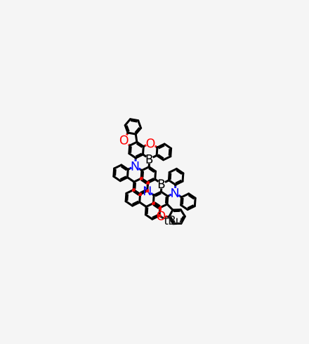 CC(C)(C)c1ccc(-c2ccccc2N2c3cc4c(cc3B3c5ccccc5N(c5ccccc5)c5c3c2cc2oc3ccccc3c52)B2c3ccccc3Oc3c2c(cc2oc5ccccc5c32)N4c2ccccc2-c2ccccc2)cc1